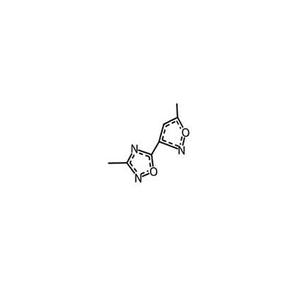 Cc1noc(-c2cc(C)on2)n1